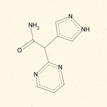 NC(=O)C(c1cn[nH]c1)c1ncccn1